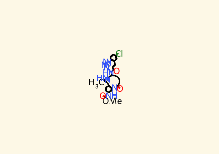 COC(=O)Nc1ccc2c(c1)NC(=O)CCCC[C@H](NC(=O)/C=C/c1cc(Cl)ccc1-n1cnnn1)c1nc-2c(C)[nH]1